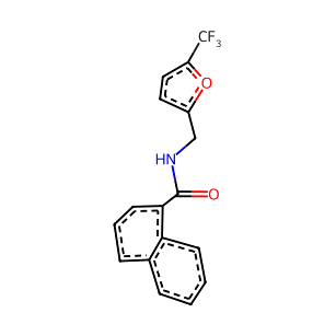 O=C(NCc1ccc(C(F)(F)F)o1)c1cccc2ccccc12